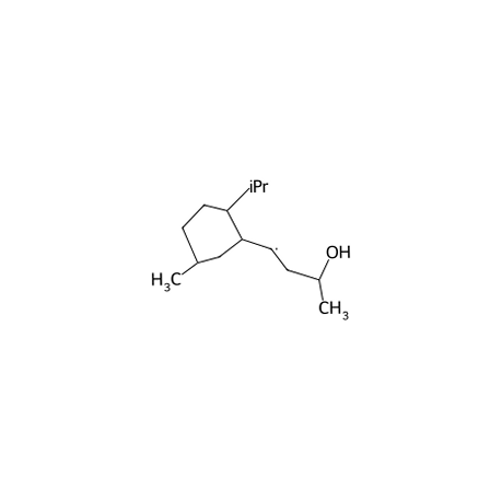 CC(O)C[CH]C1CC(C)CCC1C(C)C